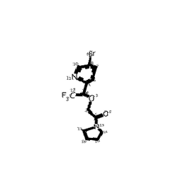 O=C(COC(c1ccc(Br)cn1)C(F)(F)F)N1CCCC1